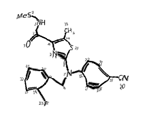 CSNC(=O)c1nc(N(Cc2ccccc2F)c2ccc(C#N)cc2)sc1C